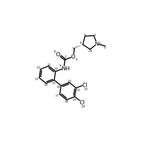 CN1CC[C@@H](COC(=O)Nc2ccccc2-c2ccc(Cl)c(Cl)c2)C1